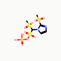 CS(=O)(=O)c1nccn1C(S(C)(=O)=O)S(=O)(=O)OP(=O)(O)O